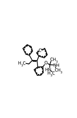 CCC(=C(c1ccccc1)c1ccccc1OC(C)(NC)NC)c1ccccc1